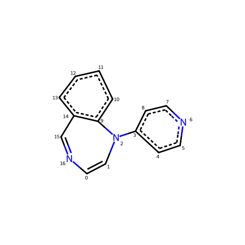 C1=CN(c2ccncc2)c2ccccc2C=N1